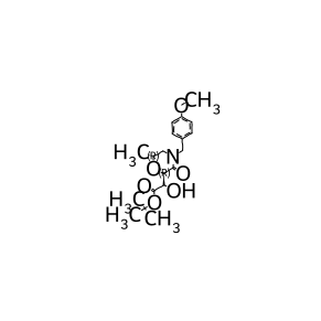 COc1ccc(CN2C[C@@H](C)O[C@H](C(O)C(=O)OC(C)(C)C)C2=O)cc1